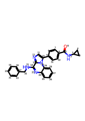 O=C(NC1CC1)c1ccc(-c2cnc3c(NCc4ccccc4)nc4ccccc4n23)cc1